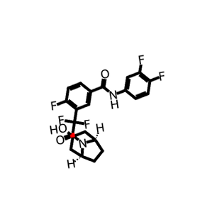 O=C(Nc1ccc(F)c(F)c1)c1ccc(F)c(C(F)(F)C(=O)N2[C@@H]3CC[C@H]2CC(O)C3)c1